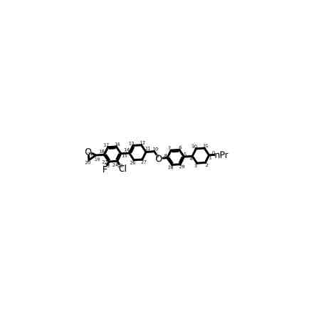 CCCC1CCC(c2ccc(OCC3CC=C(c4ccc(C5CO5)c(F)c4Cl)CC3)cc2)CC1